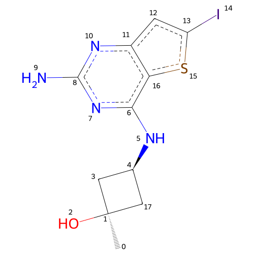 C[C@]1(O)C[C@@H](Nc2nc(N)nc3cc(I)sc23)C1